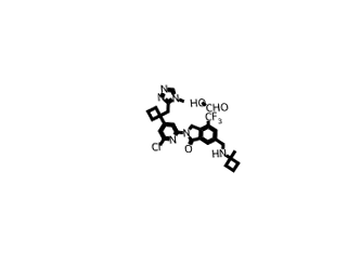 Cn1cnnc1CC1(c2cc(Cl)nc(N3Cc4c(cc(CNC5(C)CCC5)cc4C(F)(F)F)C3=O)c2)CCC1.O=CO